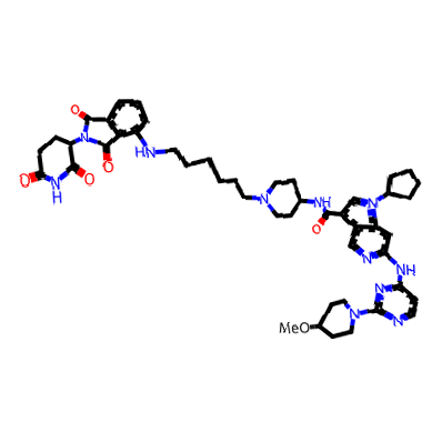 COC1CCN(c2nccc(Nc3cc4c(cn3)c(C(=O)NC3CCN(CCCCCCNc5cccc6c5C(=O)N(C5CCC(=O)NC5=O)C6=O)CC3)cn4C3CCCC3)n2)CC1